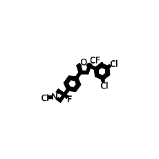 FC1(c2ccc(C3=COC(c4cc(Cl)cc(Cl)c4)(C(F)(F)F)C3)cc2)CN(Cl)C1